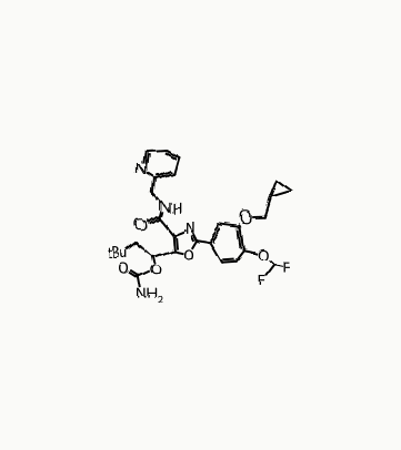 CC(C)(C)C[C@H](OC(N)=O)c1oc(-c2ccc(OC(F)F)c(OCC3CC3)c2)nc1C(=O)NCc1ccccn1